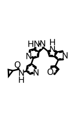 O=C(Nc1cncc(-c2cc3c(-c4cc5c(-c6ccoc6)cncc5[nH]4)n[nH]c3cn2)c1)C1CC1